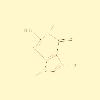 Cn1c(N)nc2c(c(I)cn2C)c1=O